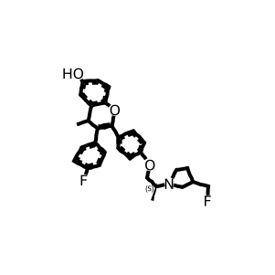 CC1C(c2ccc(F)cc2)=C(c2ccc(OC[C@H](C)N3CCC(CF)C3)cc2)Oc2ccc(O)cc21